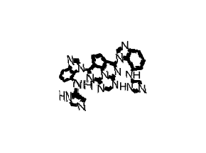 c1cc(Nc2cnc[nH]2)c2c(c1)ncn2-c1nc2ncnc3nc(-n4cnc5cccc(Nc6cnc[nH]6)c54)c4ccc1c4n23